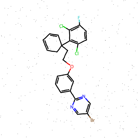 Fc1ccc(Cl)c(C2(CCOc3cccc(-c4ncc(Br)cn4)c3)C=CC=CC2)c1Cl